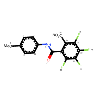 COc1ccc(NC(=O)c2c(F)c(F)c(F)c(F)c2C(=O)O)cc1